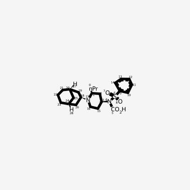 CCC[C@H]1C[C@@H](N(C(=O)O)S(=O)(=O)c2ccccc2)CCN1[C@H]1C[C@@H]2CCC[C@@H](C2)C1